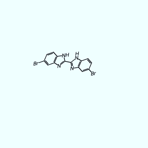 Brc1ccc2[nH]c(-c3nc4cc(Br)ccc4[nH]3)nc2c1